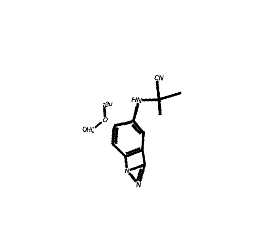 CC(C)(C#N)Nc1ccc2c(c1)c1nn2-1.CC(C)(C)OC=O